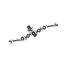 C=CC(=O)OCCCCCCOC1CCC(OC(=O)C2CCC(C(=O)Oc3c4c(c(OC(=O)C5CCC(C(=O)OC6CCC(OCCCCCCOC(=O)C=C)CC6)CC5)c5ccccc35)SC(=C3C(=O)c5ccccc5S3(=O)=O)S4)CC2)CC1